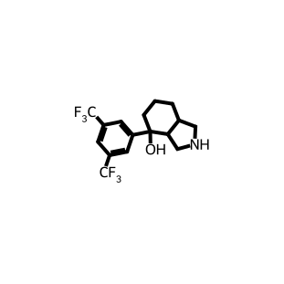 OC1(c2cc(C(F)(F)F)cc(C(F)(F)F)c2)CCCC2CNCC21